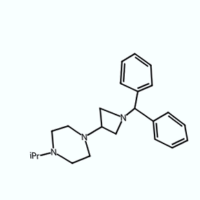 CC(C)N1CCN(C2CN(C(c3ccccc3)c3ccccc3)C2)CC1